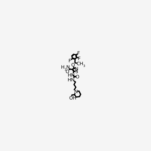 CC(Oc1nsc(NC(=O)NCCCCN2CCCCC2CO)c1C(N)=O)c1c(F)ccc(F)c1F